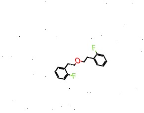 Fc1ccccc1CCOCCc1ccccc1F